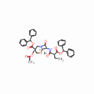 CCC(C(=O)NC1C(=O)N2CC(COC(C)=O)(C(=O)OC(c3ccccc3)c3ccccc3)CS[C@H]12)C(=O)OC(c1ccccc1)c1ccccc1